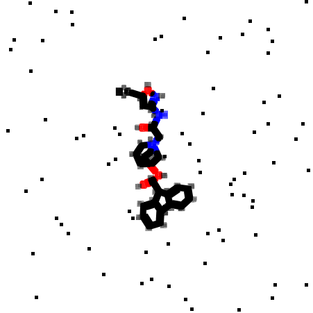 Cc1cc(NC(=O)C[N+]23CCC(CC2)C(OC(=O)C2c4ccccc4-c4ccccc42)C3)no1